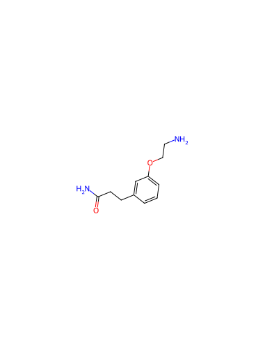 NCCOc1cccc(CCC(N)=O)c1